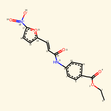 CCOC(=O)c1ccc(NC(=O)/C=C/c2ccc([N+](=O)[O-])o2)cc1